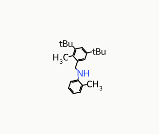 Cc1ccccc1NCc1cc(C(C)(C)C)cc(C(C)(C)C)c1C